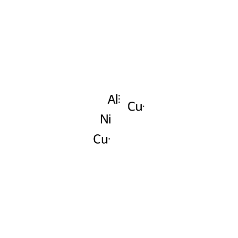 [Al].[Cu].[Cu].[Ni]